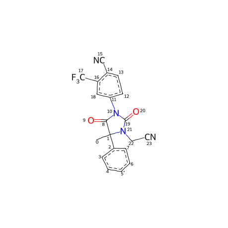 CC1(c2cc[c]cc2)C(=O)N(c2ccc(C#N)c(C(F)(F)F)c2)C(=O)N1CC#N